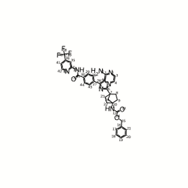 Nc1nccn2c(C34CCC(NC(=O)OCc5ccccc5)(CC3)C4)nc(-c3ccc(C(=O)Nc4cc(C(F)(F)F)ccn4)cc3)c12